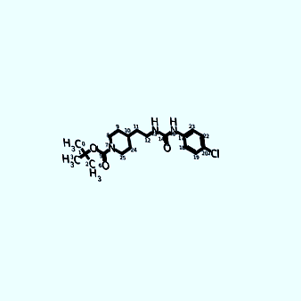 CC(C)(C)OC(=O)N1CCC(CCNC(=O)Nc2ccc(Cl)cc2)CC1